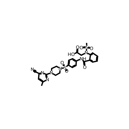 Cc1cc(C#N)nc(N2CCN(S(=O)(=O)c3ccc(NC(=O)c4ccccc4N(CC(=O)O)S(C)(=O)=O)cc3)CC2)n1